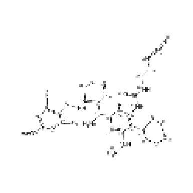 COc1cc(F)c(CNC2=C(C(N)C3N=C(NN)C(N4CCOCC4)=C(NC(=O)NCCN=[N+]=[N-])N3)C=CCC2)c(F)c1